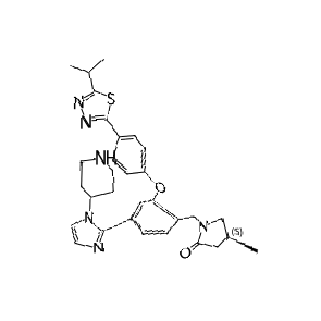 CC(C)c1nnc(-c2ccc(Oc3cc(-c4nccn4C4CCNCC4)ccc3CN3C[C@@H](C)CC3=O)cc2)s1